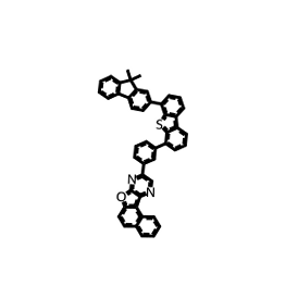 CC1(C)c2ccccc2-c2ccc(-c3cccc4c3sc3c(-c5cccc(-c6cnc7c(n6)oc6ccc8ccccc8c67)c5)cccc34)cc21